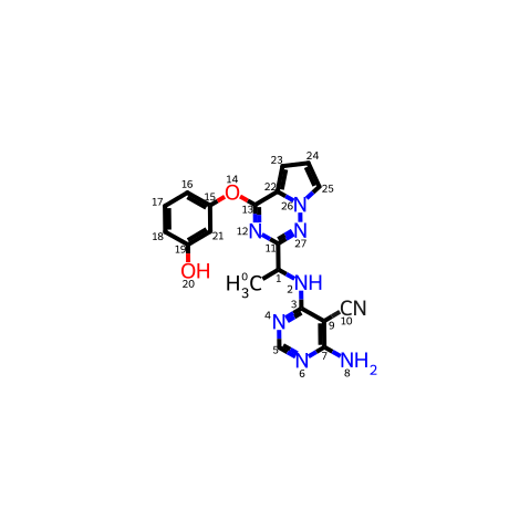 CC(Nc1ncnc(N)c1C#N)c1nc(Oc2cccc(O)c2)c2cccn2n1